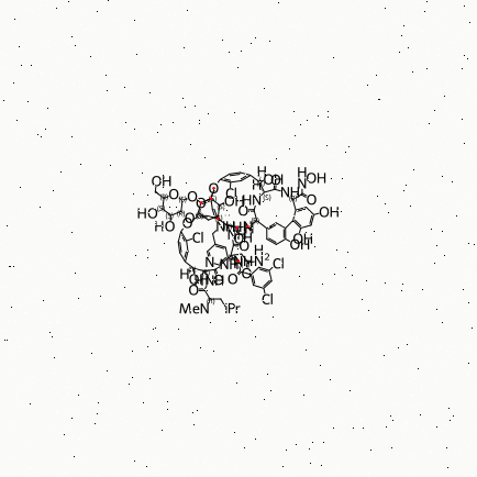 CN[C@H](CC(C)C)C(=O)N[C@H]1C(=O)N[C@@H](CC(N)=O)C(=O)N[C@H]2C(=O)N[C@H]3C(=O)N[C@H](C(=O)N[C@@H](C(=O)NO)c4cc(O)cc(O)c4-c4cc3ccc4O)[C@H](O)c3ccc(c(Cl)c3)Oc3cc2cc(c3O[C@@H]2O[C@H](CO)[C@@H](O)[C@H](O)[C@H]2O[C@H]2C[C@](C)(NCc3cncc(NC(=O)c4cc(Cl)cc(Cl)c4)c3)[C@H](O)[C@H](C)O2)Oc2ccc(cc2Cl)[C@H]1O